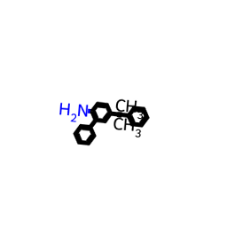 CC(C)(c1ccccc1)c1ccc(N)c(-c2ccccc2)c1